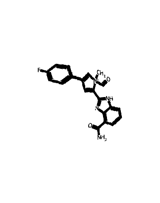 C[N+]1(C=O)C=C(c2ccc(F)cc2)C=C1c1nc2c(C(N)=O)cccc2[nH]1